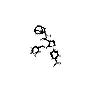 O=C(NC12CC3CC(CC1C3)C2)c1cnn(-c2ccc([N+](=O)[O-])cc2)c1OCc1cccnc1